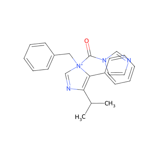 CC(C)C1=C(c2ccccc2)[N+](Cc2ccccc2)(C(=O)n2ccnc2)C=N1